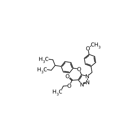 CCOC(=O)c1nnn(Cc2ccc(OC)cc2)c1Oc1ccc(C(CC)CC)cc1